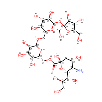 N[C@H]1[C@H]([C@H](O)[C@H](O)CO)O[C@](O)(C(=O)OC[C@H]2OC(OC[C@H]3OC(O[C@]4(CO)O[C@H](CO)[C@@H](O)[C@@H]4O)[C@H](O)[C@@H](O)[C@@H]3O)[C@H](O)[C@@H](O)[C@H]2O)C[C@@H]1O